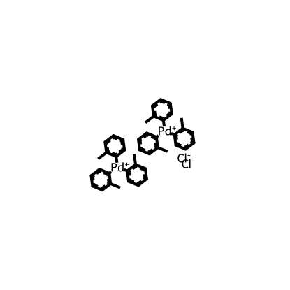 Cc1cccc[c]1[Pd+]([c]1ccccc1C)[c]1ccccc1C.Cc1cccc[c]1[Pd+]([c]1ccccc1C)[c]1ccccc1C.[Cl-].[Cl-]